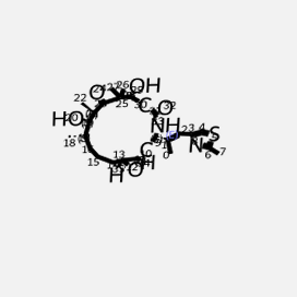 C/C(=C\c1csc(C)n1)[C@@H]1C[C@@H]2O[C@@H]2CCC[C@H](C)[C@H](O)[C@@H](C)C(=O)C(C)(C)[C@@H](O)CC(=O)N1